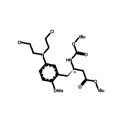 COc1ccc(N(CCCl)CCCl)cc1C[C@@H](CC(=O)OC(C)(C)C)NC(=O)OC(C)(C)C